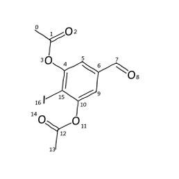 CC(=O)Oc1cc(C=O)cc(OC(C)=O)c1I